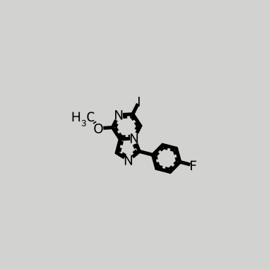 COc1nc(I)cn2c(-c3ccc(F)cc3)ncc12